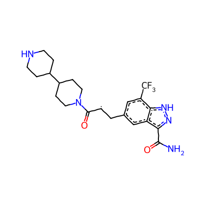 NC(=O)c1n[nH]c2c(C(F)(F)F)cc(C[CH]C(=O)N3CCC(C4CCNCC4)CC3)cc12